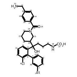 CCc1cccc(-c2c(Cl)cccc2C(O)(CCCNC(=O)O)C2CCCN(C(=O)c3ccc(CN)cc3)C2)c1